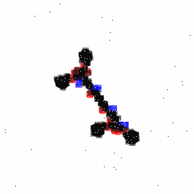 O=C(CCCCCC(=O)NCCCC[C@H](NC(=O)OCc1ccccc1)C(=O)C(=O)OCc1ccccc1)NCCCC[C@H](NC(=O)OCc1ccccc1)C(=O)C(=O)OCc1ccccc1